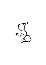 O=C(O)C1(CC2CCCC3OC23)CCCC2OC21